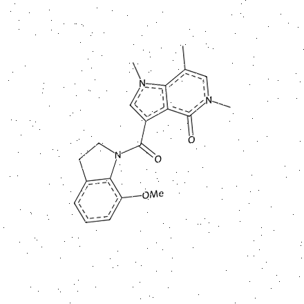 COc1cccc2c1N(C(=O)c1cn(C)c3c(C)cn(C)c(=O)c13)CC2